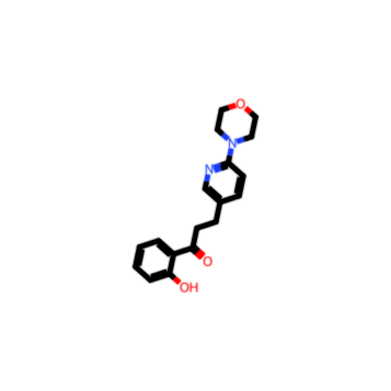 O=C(CCc1ccc(N2CCOCC2)nc1)c1ccccc1O